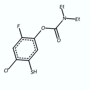 CCN(CC)C(=O)Oc1cc(S)c(Cl)cc1F